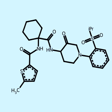 Cc1ccc(C(=O)NC2(C(=O)NC3CCN(c4ccccc4S(=O)(=O)C(C)C)CC3=O)CCCCC2)s1